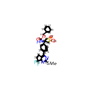 CSc1nc(-c2ccc(C3(NC(=O)OCc4ccccc4)CS(=O)(=O)C3)cc2)c2c(n1)C(F)(F)CC2